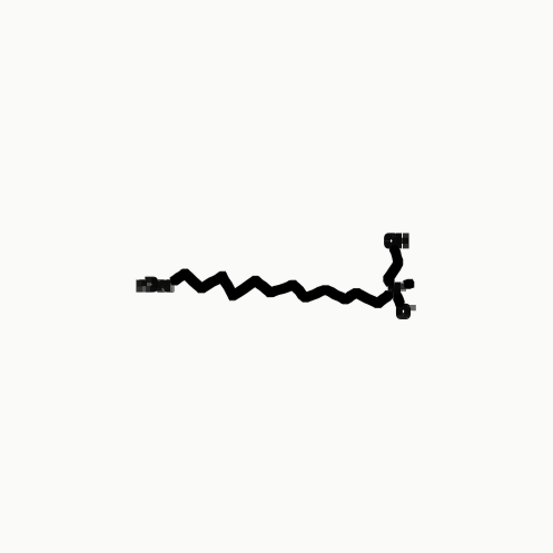 CCCCCCCCCCCCCCCCCCCCCC[N+](C)([O-])CCO